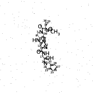 CON=C(C(=O)N1CCC(Nc2cc(C(=O)NCC(O)CN3CCc4ccccc4C3)ncn2)C(F)C1)C1CC1